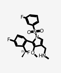 CNCc1cn(S(=O)(=O)c2cccc(F)c2)c(-c2ccc(F)cc2[C@H](C)F)c1OC